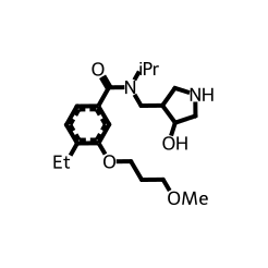 CCc1ccc(C(=O)N(CC2CNCC2O)C(C)C)cc1OCCCOC